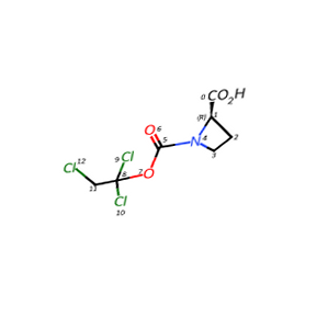 O=C(O)[C@H]1CCN1C(=O)OC(Cl)(Cl)CCl